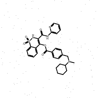 CN(Cc1ccc(C(=O)OC2=C(C(=O)Nc3ccccn3)NS(=O)(=O)c3ccccc32)cc1)C1CCCCC1